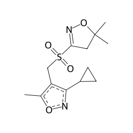 Cc1onc(C2CC2)c1CS(=O)(=O)C1=NOC(C)(C)C1